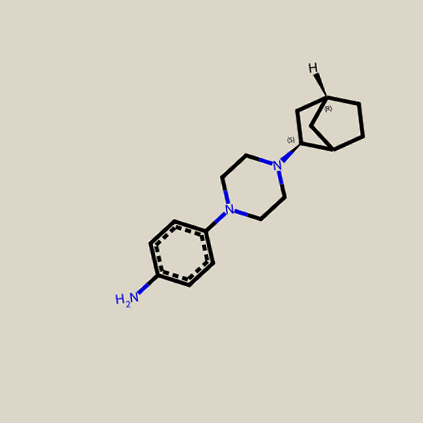 Nc1ccc(N2CCN([C@H]3C[C@@H]4CCC3C4)CC2)cc1